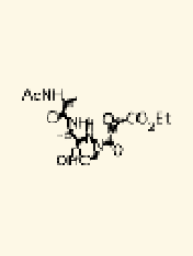 CCOC(=O)[C@@H]1O[C@H]1C(=O)N(CC=O)NC(=O)[C@H](C)NC(=O)[C@H](C)NC(C)=O